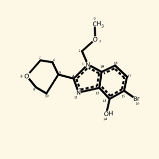 COCn1c(C2CCOCC2)nc2c(O)c(Br)ccc21